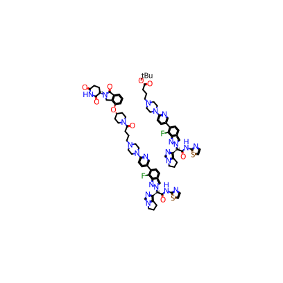 CC(C)(C)OC(=O)CCCN1CCN(c2ccc(-c3ccc4cn([C@@H](C(=O)Nc5nccs5)c5ncn6c5CCC6)nc4c3F)cn2)CC1.O=C1CC[C@@H](N2Cc3c(OC4CCN(C(=O)CCCN5CCN(c6ccc(-c7ccc8cn([C@@H](C(=O)Nc9nccs9)c9ncn%10c9CCC%10)nc8c7F)cn6)CC5)CC4)cccc3C2=O)C(=O)N1